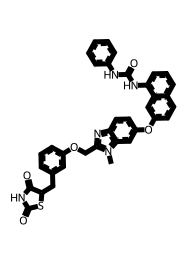 Cn1c(COc2cccc(CC3SC(=O)NC3=O)c2)nc2ccc(Oc3ccc4cccc(NC(=O)Nc5ccccc5)c4c3)cc21